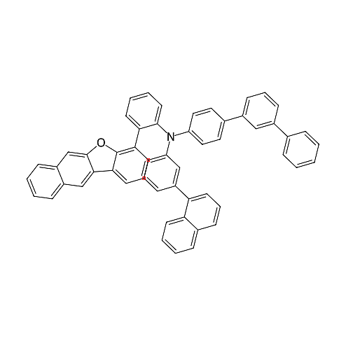 c1ccc(-c2cccc(-c3ccc(N(c4cccc(-c5cccc6ccccc56)c4)c4ccccc4-c4cccc5c4oc4cc6ccccc6cc45)cc3)c2)cc1